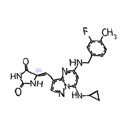 Cc1ccc(CNc2cc(NC3CC3)n3ncc(/C=C4\NC(=O)NC4=O)c3n2)cc1F